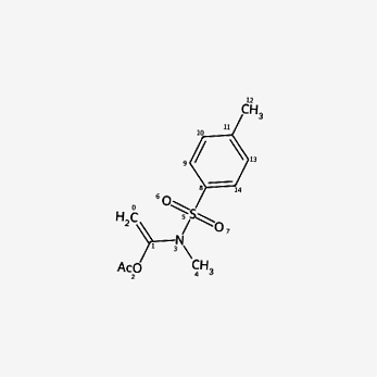 C=C(OC(C)=O)N(C)S(=O)(=O)c1ccc(C)cc1